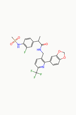 CC(C(=O)NCc1ccc(C(F)(F)F)nc1-c1ccc2c(c1)OCO2)c1ccc(NS(C)(=O)=O)c(F)c1